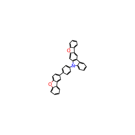 c1ccc2c(c1)oc1ccc(-c3ccc(-n4c5ccccc5c5cc6c(cc54)oc4ccccc46)cc3)cc12